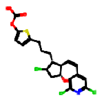 O=C(O)Oc1ccc(CCC[C@@H]2[C@@H](/C=C\c3cc(Cl)nc(Cl)c3)[C@H](O)C[C@H]2Cl)s1